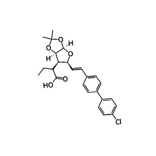 CCC(C(=O)O)[C@H]1[C@H]2OC(C)(C)O[C@H]2O[C@H]1C=Cc1ccc(-c2ccc(Cl)cc2)cc1